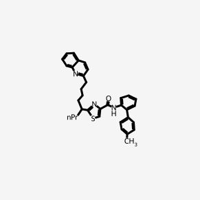 CCCC(CCCCc1ccc2ccccc2n1)c1nc(C(=O)Nc2ccccc2-c2ccc(C)cc2)cs1